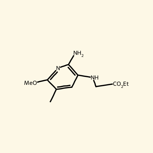 CCOC(=O)CNc1cc(C)c(OC)nc1N